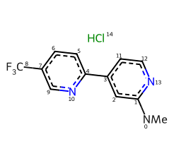 CNc1cc(-c2ccc(C(F)(F)F)cn2)ccn1.Cl